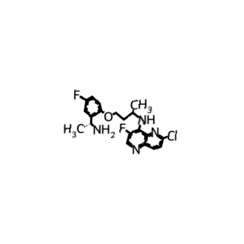 C[C@H](CCOc1ccc(F)cc1[C@@H](C)N)Nc1c(F)cnc2ccc(Cl)nc12